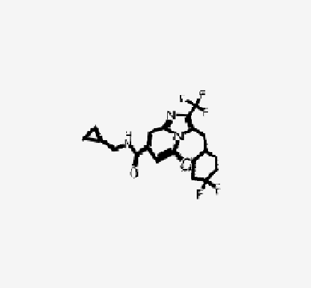 O=C(NCC1CC1)c1cc(Cl)n2c(CC3CCC(F)(F)CC3)c(C(F)(F)F)nc2c1